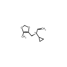 C=C[C@H](CC1=C(C)OCO1)C1CC1